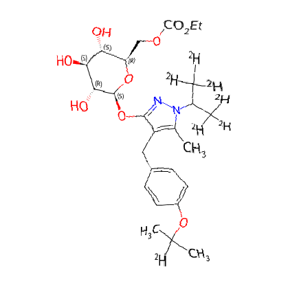 [2H]C(C)(C)Oc1ccc(Cc2c(O[C@@H]3O[C@H](COC(=O)OCC)[C@@H](O)[C@H](O)[C@H]3O)nn(C(C([2H])([2H])[2H])C([2H])([2H])[2H])c2C)cc1